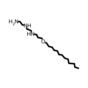 CCCCCCCCCCCCCOCCCNCCNCCN